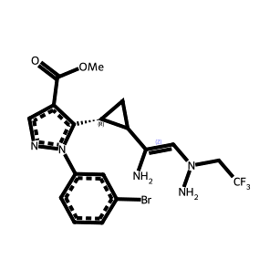 COC(=O)c1cnn(-c2cccc(Br)c2)c1[C@@H]1CC1/C(N)=C/N(N)CC(F)(F)F